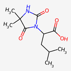 CC(C)CC(C(=O)O)N1C(=O)NC(C)(C)C1=O